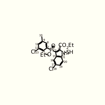 CCOC(=O)c1c(P(=O)(OCC)c2cc(C)cc(Cl)c2)c2cc(Cl)ccc2n1S